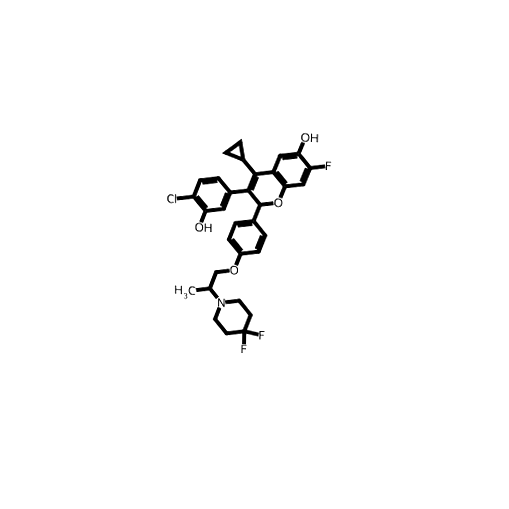 CC(COc1ccc(C2Oc3cc(F)c(O)cc3C(C3CC3)=C2c2ccc(Cl)c(O)c2)cc1)N1CCC(F)(F)CC1